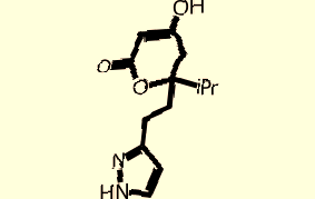 CC(C)C1(CCc2cc[nH]n2)CC(O)=CC(=O)O1